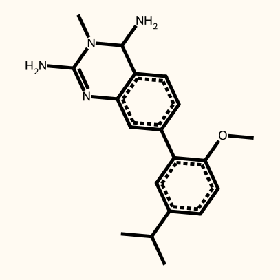 COc1ccc(C(C)C)cc1-c1ccc2c(c1)N=C(N)N(C)C2N